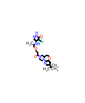 CC(COCCC(=O)N1CCN2c3ncc(C(C)(C)C)cc3OCCC2C1)Nc1cn[nH]c(=O)c1C(F)(F)F